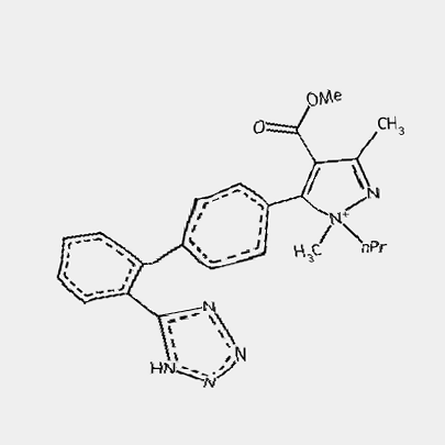 CCC[N+]1(C)N=C(C)C(C(=O)OC)=C1c1ccc(-c2ccccc2-c2nnn[nH]2)cc1